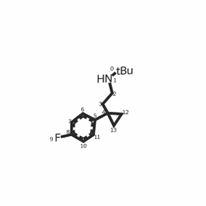 CC(C)(C)NCCC1(c2ccc(F)cc2)CC1